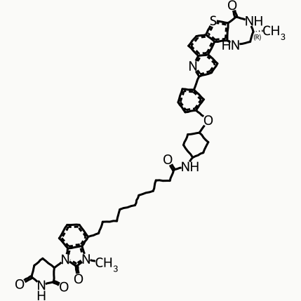 C[C@@H]1CNc2c(sc3ccc4nc(-c5cccc(OC6CCC(NC(=O)CCCCCCCCCc7cccc8c7n(C)c(=O)n8C7CCC(=O)NC7=O)CC6)c5)ccc4c23)C(=O)N1